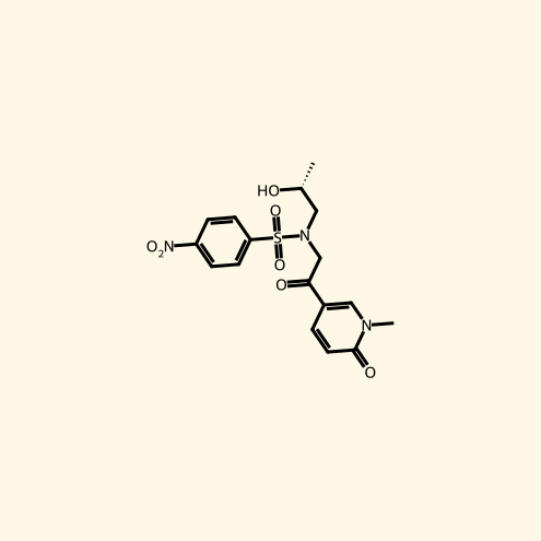 C[C@@H](O)CN(CC(=O)c1ccc(=O)n(C)c1)S(=O)(=O)c1ccc([N+](=O)[O-])cc1